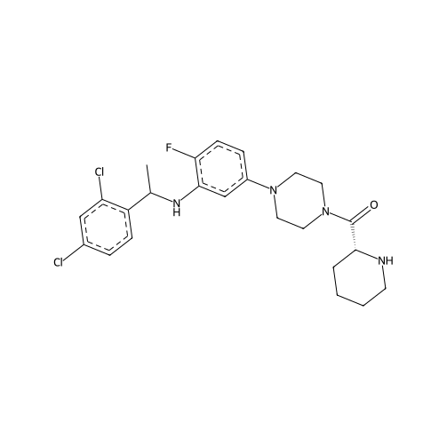 CC(Nc1cc(N2CCN(C(=O)[C@H]3CCCCN3)CC2)ccc1F)c1ccc(Cl)cc1Cl